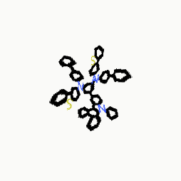 c1ccc(-c2ccc(N(c3cc(-c4ccc5c(c4)c4c6ccccc6c6ccccc6c4n5-c4ccccc4)cc(N(c4ccc(-c5ccccc5)cc4)c4ccc5sc6ccccc6c5c4)c3)c3ccc4sc5ccccc5c4c3)cc2)cc1